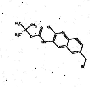 CC(C)(C)OC(=O)Nc1cc2cc(CBr)ccc2nc1Cl